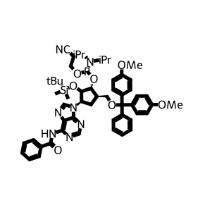 COc1ccc(C(OC[C@H]2C[C@@H](n3cnc4c(NC(=O)c5ccccc5)ncnc43)C(O[Si](C)(C)C(C)(C)C)[C@@H]2OP(OCCC#N)N(C(C)C)C(C)C)(c2ccccc2)c2ccc(OC)cc2)cc1